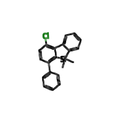 C[Si]1(C)c2ccccc2-c2c(Cl)ccc(-c3ccccc3)c21